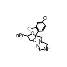 CCCC1COC(CN2CNC=N2)(c2ccc(Cl)cc2Cl)O1